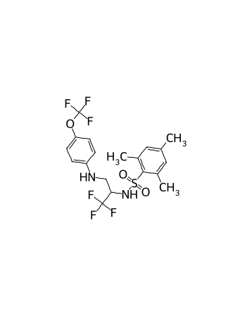 Cc1cc(C)c(S(=O)(=O)NC(CNc2ccc(OC(F)(F)F)cc2)C(F)(F)F)c(C)c1